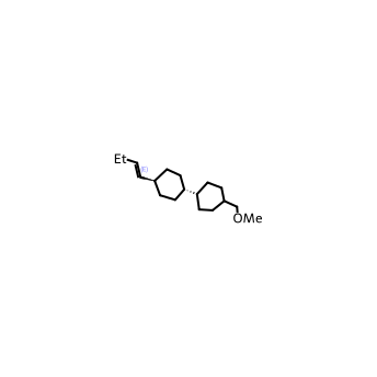 CC/C=C/[C@H]1CC[C@H](C2CCC(COC)CC2)CC1